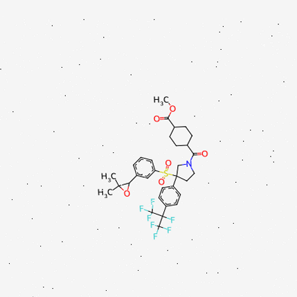 COC(=O)C1CCC(C(=O)N2CCC(c3ccc(C(F)(C(F)(F)F)C(F)(F)F)cc3)(S(=O)(=O)c3cccc(C4OC4(C)C)c3)C2)CC1